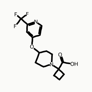 O=C(O)C1(N2CCC(Oc3ccnc(C(F)(F)F)c3)CC2)CCC1